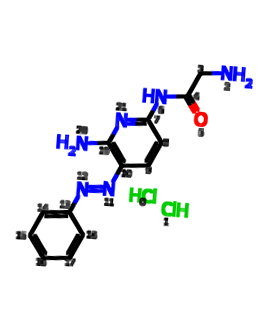 Cl.Cl.NCC(=O)Nc1ccc(/N=N/c2ccccc2)c(N)n1